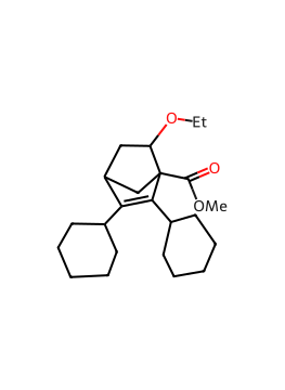 CCOC1CC2CC1(C(=O)OC)C(C1CCCCC1)=C2C1CCCCC1